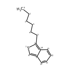 CCCCCCc1scc2ccccc12